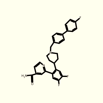 NC(=O)c1ccnc(-c2cc(F)c(F)cc2C2CCN(Cc3ccc(-c4ccc(F)cc4)cc3)CC2)c1